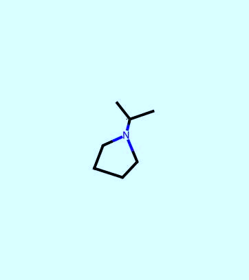 C[C](C)N1CCCC1